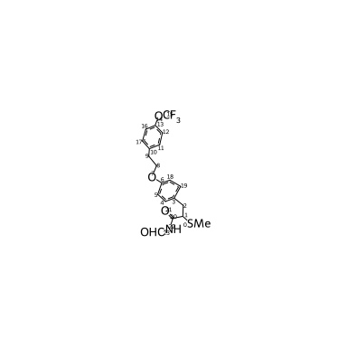 CSC(Cc1ccc(OCCc2ccc(OC(F)(F)F)cc2)cc1)C(=O)NC=O